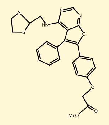 COC(=O)COc1ccc(-c2oc3ncnc(NCC4SCCS4)c3c2-c2ccccc2)cc1